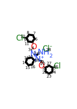 Nc1n(COc2cccc(Cl)c2)c2ccccc2[n+]1COc1cccc(Cl)c1.[Cl-]